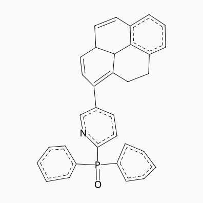 O=P(c1ccccc1)(c1ccccc1)c1ccc(C2=C3CCc4cccc5c4C3C(C=C2)C=C5)cn1